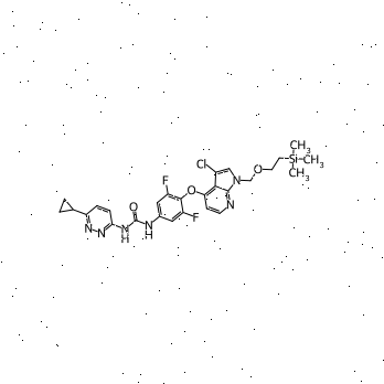 C[Si](C)(C)CCOCn1cc(Cl)c2c(Oc3c(F)cc(NC(=O)Nc4ccc(C5CC5)nn4)cc3F)ccnc21